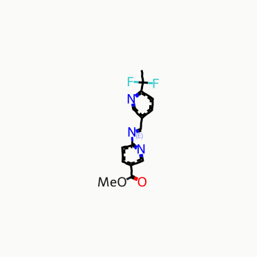 COC(=O)c1ccc(/N=C/c2ccc(C(C)(F)F)nc2)nc1